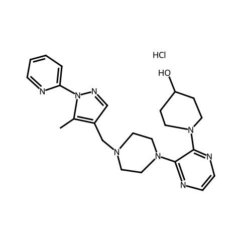 Cc1c(CN2CCN(c3nccnc3N3CCC(O)CC3)CC2)cnn1-c1ccccn1.Cl